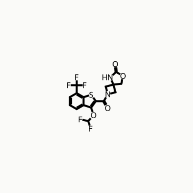 O=C1NC2(CO1)CN(C(=O)c1sc3c(C(F)(F)F)cccc3c1OC(F)F)C2